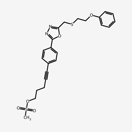 CS(=O)(=O)OCCCC#Cc1ccc(-c2nnc(CSCCOc3ccccc3)o2)cc1